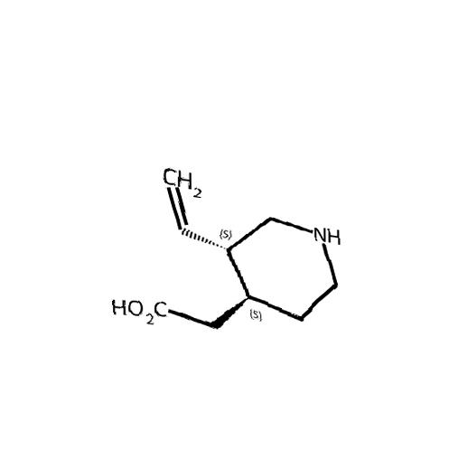 C=C[C@@H]1CNCC[C@H]1CC(=O)O